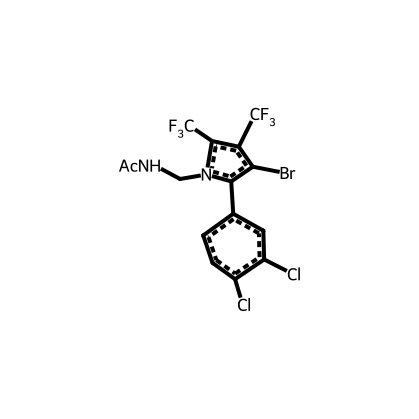 CC(=O)NCn1c(-c2ccc(Cl)c(Cl)c2)c(Br)c(C(F)(F)F)c1C(F)(F)F